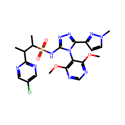 COc1ncnc(OC)c1-n1c(NS(=O)(=O)C(C)C(C)c2ncc(Cl)cn2)nnc1-c1ccn(C)n1